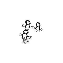 O=C([O-])c1ccccc1C(=O)[O-].O=C([O-])c1ccccc1C(=O)[O-].O=C([O-])c1ccccc1C(=O)[O-].[Nd+3].[Nd+3]